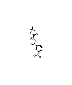 CC(C)(C)OC(=O)NCC(F)c1cccc([N+](=O)[O-])c1